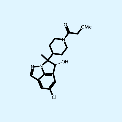 COCC(=O)N1CCC(C2(C)[C@H](O)c3cc(Cl)cc4cnn2c34)CC1